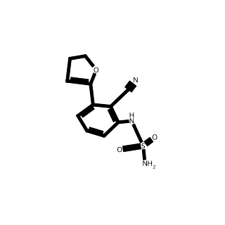 N#Cc1c(NS(N)(=O)=O)cccc1C1=CCCO1